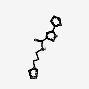 O=C(NCCCn1cccc1)c1cc(-c2ccco2)on1